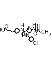 CCNC(=O)Nc1cc(Nc2ccc(Cl)cc2)c(C(=O)Nc2ccc(CCCC(=O)O)cc2)cn1